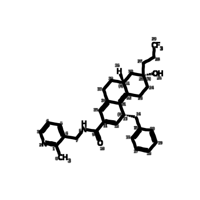 Cc1ncccc1CNC(=O)C1=C[C@@H](Cc2ccccc2)C2=C3CC[C@](O)(CCC(F)(F)F)C[C@H]3CCC2=C1